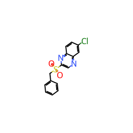 O=S(=O)(Cc1ccccc1)c1cnc2cc(Cl)ccc2n1